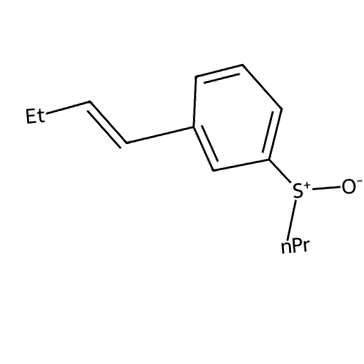 [CH2]CC=Cc1cccc([S+]([O-])CCC)c1